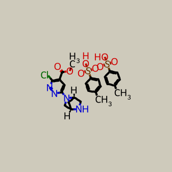 COC(=O)c1cc(N2C[C@@H]3C[C@H]2CN3)nnc1Cl.Cc1ccc(S(=O)(=O)O)cc1.Cc1ccc(S(=O)(=O)O)cc1